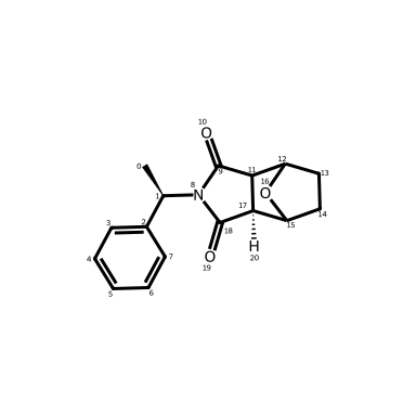 C[C@H](c1ccccc1)N1C(=O)C2C3CCC(O3)[C@H]2C1=O